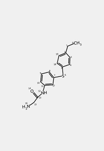 CCc1ccc(Sc2cccc(NC(=O)CN)c2)cc1